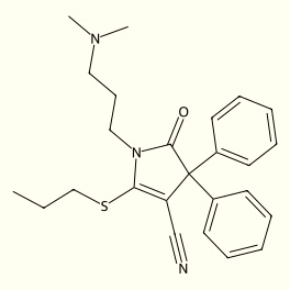 CCCSC1=C(C#N)C(c2ccccc2)(c2ccccc2)C(=O)N1CCCN(C)C